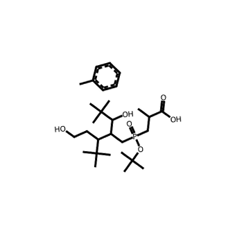 CC(CP(=O)(CC(C(O)C(C)(C)C)C(CCO)C(C)(C)C)OC(C)(C)C)C(=O)O.Cc1ccccc1